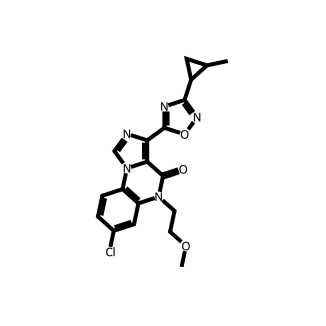 COCCn1c(=O)c2c(-c3nc(C4CC4C)no3)ncn2c2ccc(Cl)cc21